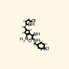 N=C(C(=O)NCc1ccc(Cl)cc1)C1=C(N)CC(C[C@H]2CCC(=O)N2)C1